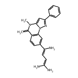 C=C1c2ccc(/C(N)=C/C=C(N)N)cc2-n2nc(-c3ccccc3)cc2N1C